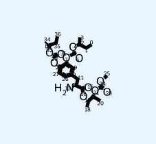 CCC(C)OC(=O)Oc1cc(C[C@H](N)C(=O)OC(C)C(C)OC(=O)OC)ccc1OC(=O)O[C@@H](C)CC